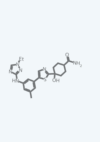 CCn1cnc(Nc2cc(C)cc(-c3cnc(C4(O)CCC(C(N)=O)CC4)s3)c2)n1